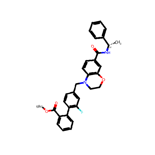 C[C@H](NC(=O)c1ccc2c(c1)OCCN2Cc1ccc(-c2ccccc2C(=O)OC(C)(C)C)c(F)c1)c1ccccc1